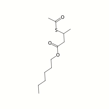 CCCCCCOC(=O)CC(C)SC(C)=O